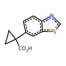 O=C(O)C1(c2ccc3ncsc3c2)CC1